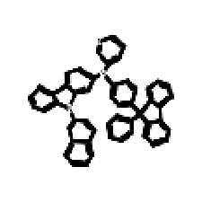 c1ccc(C2(c3ccc(N(c4cccnc4)c4ccc5c6ccccc6n(-c6ccc7ccccc7c6)c5c4)cc3)c3ccccc3-c3ccccc32)cc1